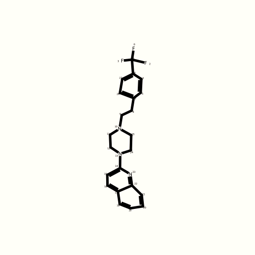 FC(F)(F)c1ccc(CCN2CCN(c3ccc4ccc[c]c4n3)CC2)cc1